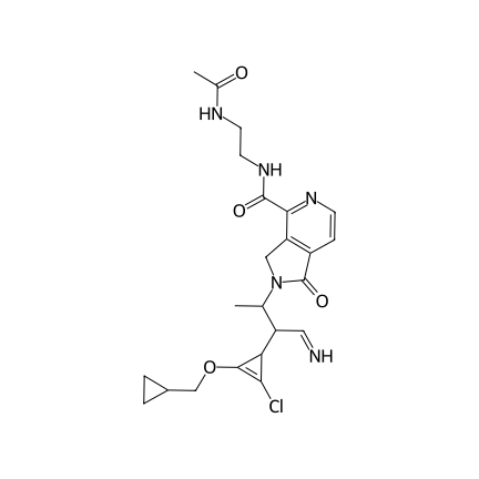 CC(=O)NCCNC(=O)c1nccc2c1CN(C(C)C(C=N)C1C(Cl)=C1OCC1CC1)C2=O